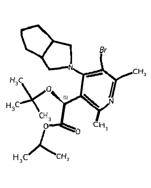 Cc1nc(C)c([C@H](OC(C)(C)C)C(=O)OC(C)C)c(N2CC3CCCC3C2)c1Br